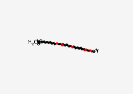 C=CC(=O)OCCCCCCCCCCCCCCCCCCCCCCCCCCCCCCCC(C)C